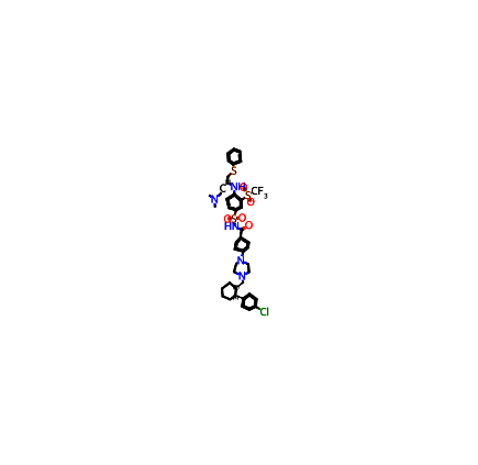 CN(C)CC[C@H](CSc1ccccc1)Nc1ccc(S(=O)(=O)NC(=O)c2ccc(N3CCN(C[C@@H]4CCCC[C@@H]4c4ccc(Cl)cc4)CC3)cc2)cc1S(=O)(=O)C(F)(F)F